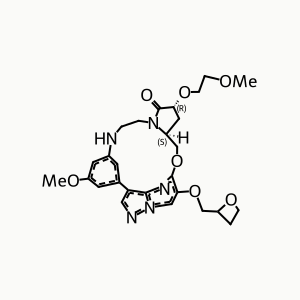 COCCO[C@@H]1C[C@H]2COc3nc4c(cnn4cc3OCC3CCO3)-c3cc(cc(OC)c3)NCCN2C1=O